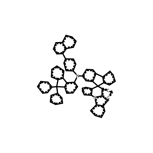 c1ccc(C2(c3ccccc3)c3ccccc3-c3c(N(c4ccc(-c5cccc6ccccc56)cc4)c4ccc5c(c4)C4(c6ccccc6-5)c5ccccc5-n5c6ccccc6c6cccc4c65)cccc32)cc1